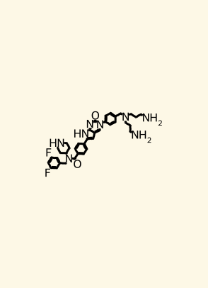 NCCCN(CCCN)Cc1ccc(-n2cc3cc(-c4ccc(C(=O)N(Cc5cc(F)cc(F)c5)C5CCNCC5)cc4)[nH]c3nc2=O)cc1